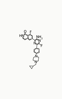 Nc1nc(F)c(-c2ccc(N3CCN(CC4CC4)CC3)cc2)nc1-c1cc(F)c2c(=O)[nH]ccc2c1